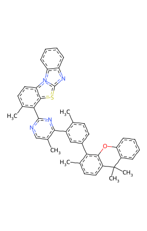 Cc1ccc(-c2c(C)ccc3c2Oc2ccccc2C3(C)C)cc1-c1nc(-c2c(C)ccc3c2sc2nc4ccccc4n23)ncc1C